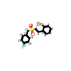 O=S(=O)(/C=C/c1ccccc1Br)Cc1ccc(F)cc1